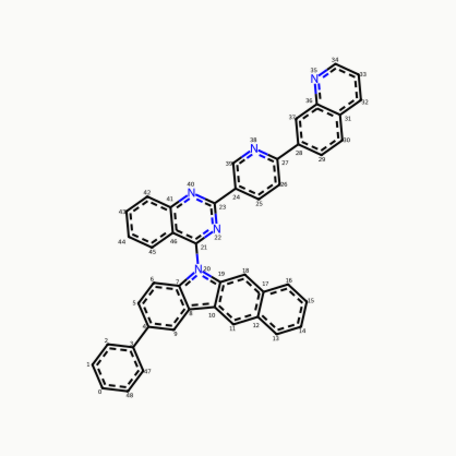 c1ccc(-c2ccc3c(c2)c2cc4ccccc4cc2n3-c2nc(-c3ccc(-c4ccc5cccnc5c4)nc3)nc3ccccc23)cc1